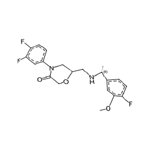 COc1cc([C@@H](C)NCC2CN(c3ccc(F)c(F)c3)C(=O)CO2)ccc1F